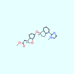 COC(=O)C[C@@H]1COc2cc(O[C@@H]3CCc4c(-c5nccn5C)cccc43)ccc21